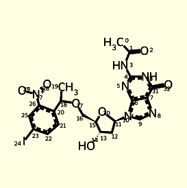 CC(=O)Nc1nc2c(ncn2[C@H]2C[C@H](O)[C@@H](COC(C)c3ccc(I)cc3[N+](=O)[O-])O2)c(=O)[nH]1